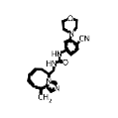 C=C1/C=C\C=C/CC(CNC(=O)Nc2ccc(C#N)c(N3CCOCC3)c2)n2cncc21